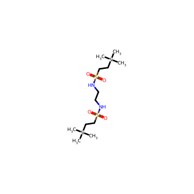 C[Si](C)(C)CCS(=O)(=O)NCCNS(=O)(=O)CC[Si](C)(C)C